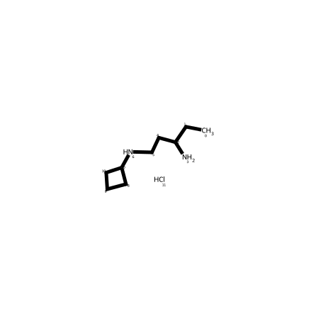 CCC(N)CCNC1CCC1.Cl